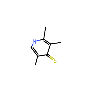 CC1=C[N]C(C)=C(C)C1=S